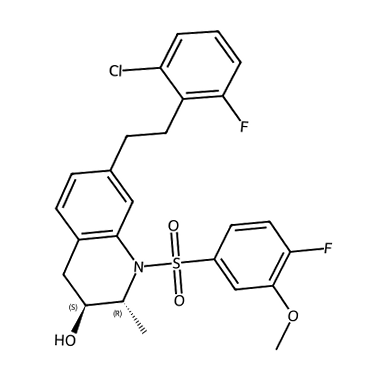 COc1cc(S(=O)(=O)N2c3cc(CCc4c(F)cccc4Cl)ccc3C[C@H](O)[C@H]2C)ccc1F